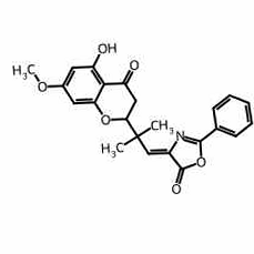 COc1cc(O)c2c(c1)OC(C(C)(C)C=C1N=C(c3ccccc3)OC1=O)CC2=O